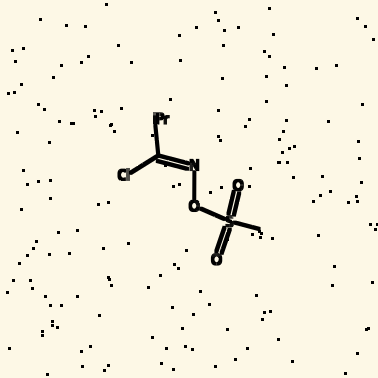 CC(C)/C(Cl)=N/OS(C)(=O)=O